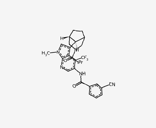 CC(C)C(=O)N1CC2CC[C@@H](C1)[C@@H]2c1cn(C)c2ncc(NC(=O)c3cccc(C#N)c3)c(C(F)(F)F)c12